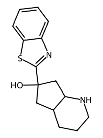 OC1(c2nc3ccccc3s2)CC2CCCNC2C1